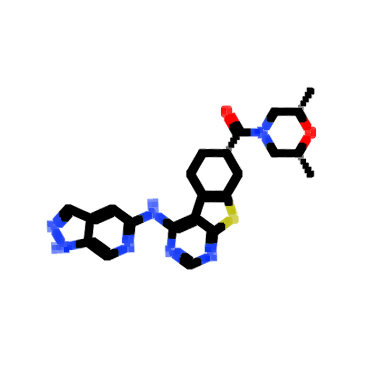 C[C@@H]1CN(C(=O)[C@H]2CCc3c(sc4ncnc(Nc5cc6cn[nH]c6cn5)c34)C2)C[C@H](C)O1